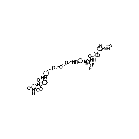 O=C1CCC(N2C(=O)c3cccc(NC4CCN(CCOCCOCCOCCNCc5ccc(-n6cc(NC(=O)c7coc(-c8ccnc(NCC9CC9)c8)n7)c(C(F)F)n6)cc5)CC4)c3C2=O)C(=O)N1